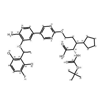 CC(Oc1cc(-c2cnc(OCCC(C3CCCC3)[C@H](NC(=O)OC(C)(C)C)C(=O)O)nc2)cnc1N)c1c(Cl)ccc(F)c1Cl